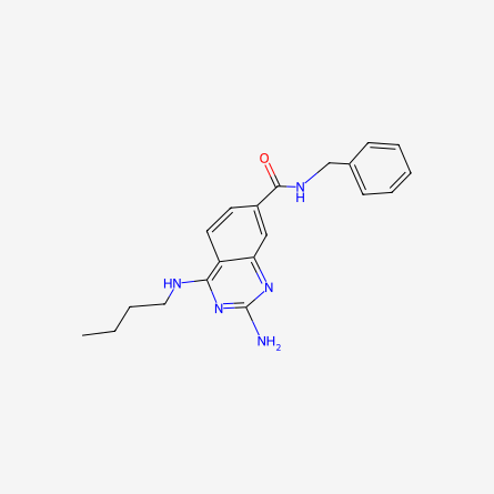 CCCCNc1nc(N)nc2cc(C(=O)NCc3ccccc3)ccc12